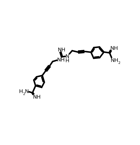 N=C(NCC#Cc1ccc(C(=N)N)cc1)NCC#Cc1ccc(C(=N)N)cc1